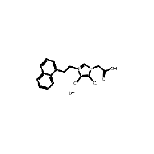 O=C(O)Cn1c[n+](CCc2cccc3ccccc23)c(Cl)c1Cl.[Br-]